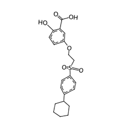 O=C(O)c1cc(OCCS(=O)(=O)c2ccc(C3CCCCC3)cc2)ccc1O